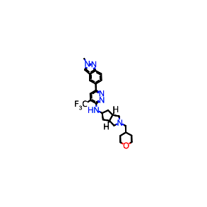 Cn1cc2cc(-c3cc(C(F)(F)F)c(NC4C[C@@H]5CN(CC6CCOCC6)C[C@@H]5C4)nn3)ccc2n1